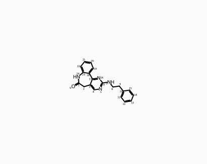 O=C1Cc2cnc(NCCc3ccccc3)nc2-c2ccccc2N1